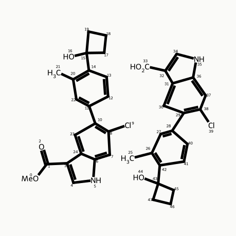 COC(=O)c1c[nH]c2cc(Cl)c(-c3ccc(C4(O)CCC4)c(C)c3)cc12.Cc1cc(-c2cc3c(C(=O)O)c[nH]c3cc2Cl)ccc1C1(O)CCC1